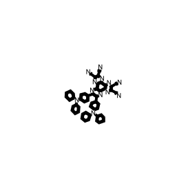 N#Cc1nc2c3nc(C#N)c(C#N)nc3c3nc(-c4ccc(N(c5ccccc5)c5ccccc5)cc4)c(-c4ccc(N(c5ccccc5)c5ccccc5)cc4)nc3c2nc1C#N